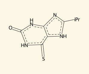 CC(C)c1nc2[nH]c(=O)[nH]c(=S)c2[nH]1